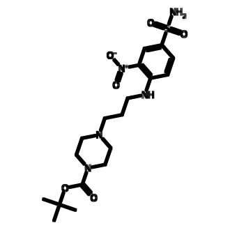 CC(C)(C)OC(=O)N1CCN(CCCNc2ccc(S(N)(=O)=O)cc2[N+](=O)[O-])CC1